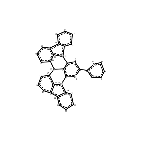 c1ccc(-c2nc3c4c(n2)-n2c5ccccc5c5cccc(c52)B4c2cccc4c5ccccc5n-3c24)nc1